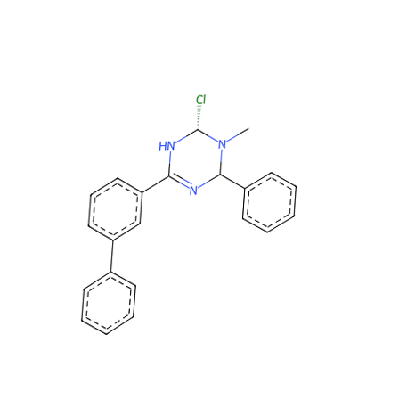 CN1C(c2ccccc2)N=C(c2cccc(-c3ccccc3)c2)N[C@@H]1Cl